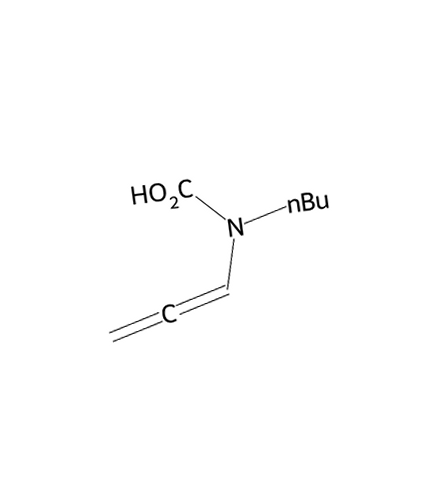 C=C=CN(CCCC)C(=O)O